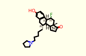 C[C@]12C[C@H](F)[C@@H]3c4ccc(O)cc4C[C@@H](CCCCCN4CCCC4)[C@H]3[C@@H]1CCC2=O